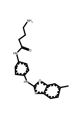 Cc1ccc2nc(Nc3ccc(NC(=O)CCCN)cc3)oc2c1